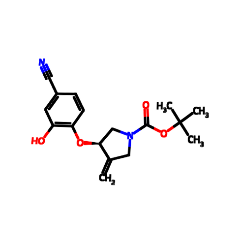 C=C1CN(C(=O)OC(C)(C)C)C[C@@H]1Oc1ccc(C#N)cc1O